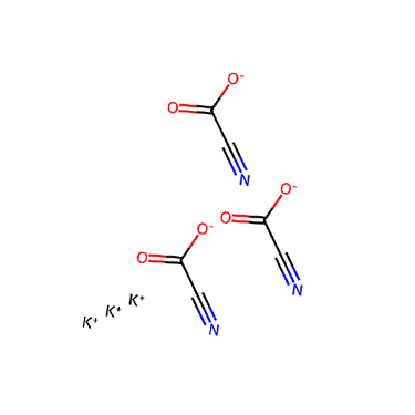 N#CC(=O)[O-].N#CC(=O)[O-].N#CC(=O)[O-].[K+].[K+].[K+]